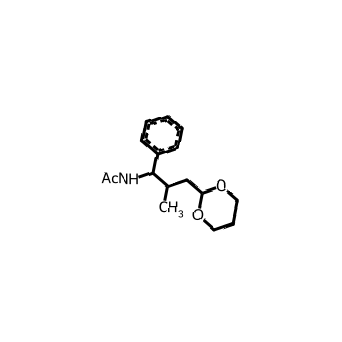 CC(=O)NC(c1ccccc1)C(C)CC1OCCCO1